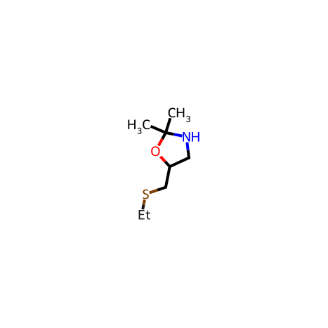 CCSCC1CNC(C)(C)O1